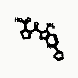 Nc1c(C(=O)N2CCCC2C(=O)O)sc2nc(-c3cccs3)ccc12